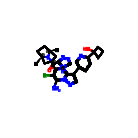 Nc1c(Br)c([C@@H]2C[C@H]3CC[C@@H](C2)N3C(=O)c2nnc[nH]2)nc2c(-c3ccc(C4(O)CCC4)nc3)cnn12